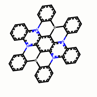 c1ccc2c(c1)B1c3ccccc3-n3c4ccccc4n4c5c6c7c(c1c53)n-2c1ccccc1n7-c1ccccc1B6c1ccccc1-4